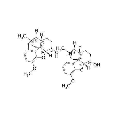 COc1ccc2c3c1O[C@H]1[C@@H](O)CC[C@H]4[C@@H](C2)N(C)CC[C@@]341.COc1ccc2c3c1O[C@H]1[C@@H](O)CC[C@H]4[C@@H](C2)N(C)CC[C@@]341